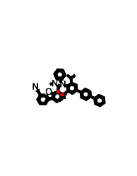 Cc1ccc2c(oc3c(C#N)cccc32)c1-c1n(-c2c(C(C)C)cc(-c3ccc(-c4ccccc4)cc3)cc2C(C)C)c2ccccc2[n+]1C